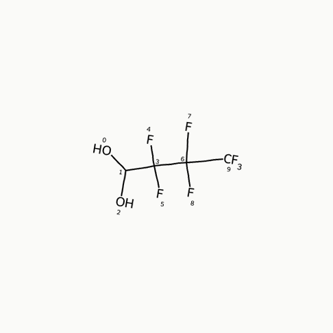 OC(O)C(F)(F)C(F)(F)C(F)(F)F